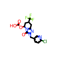 O=C(O)OC1CC(C(F)(F)F)Cc2nn(Cc3ccc(Cl)nc3)c(=O)n21